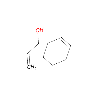 C1=CCCCC1.C=CCO